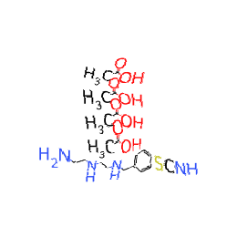 CC(=O)O.CC(=O)O.CC(=O)O.CC(=O)O.N=C=S.NCCNCCNCc1ccccc1